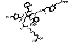 COc1ccccc1Oc1c(OCCOC(=O)Cc2cccc(CON(O)O)c2)nc(-c2ncccn2)nc1N(COC(=O)OCCOCCON(O)O)S(=O)(=O)c1ccc(C(C)(C)C)cc1